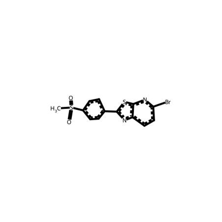 CS(=O)(=O)c1ccc(-c2nc3ccc(Br)nc3s2)cc1